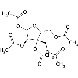 CC(=O)OC[C@H]1OC(OC(C)=O)[C@H](OC(C)=O)[C@@]1(COC(C)=O)OC(C)=O